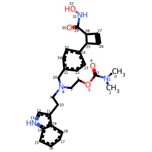 CN(C)C(=O)OCCN(CCc1c[nH]c2ccccc12)Cc1ccc(C2C#CC2C(=O)NO)cc1